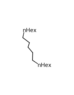 CC[CH]CCCCCCCCCCCCCC